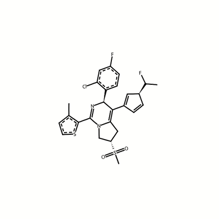 Cc1ccsc1C1=N[C@@H](c2ccc(F)cc2Cl)C(C2=C[C@@H](C(C)F)C=C2)=C2C[C@H](S(C)(=O)=O)CN12